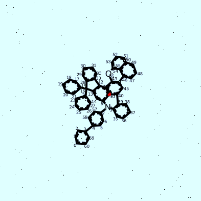 c1ccc(-c2ccc(N(c3ccc4c(c3)C(c3ccccc3)(c3ccccc3)c3ccccc3-4)c3ccccc3-c3ccc4c(c3)-c3cccc5cccc(c35)O4)cc2)cc1